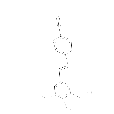 COc1cc(C=Cc2ccc(C#N)cc2)cc(OC)c1O